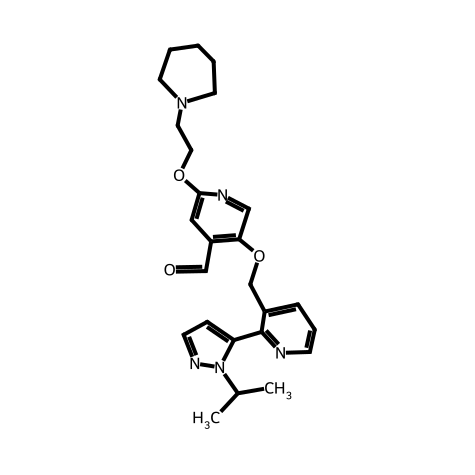 CC(C)n1nccc1-c1ncccc1COc1cnc(OCCN2CCCCC2)cc1C=O